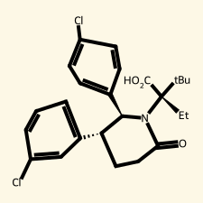 CC[C@](C(=O)O)(N1C(=O)CC[C@H](c2cccc(Cl)c2)[C@H]1c1ccc(Cl)cc1)C(C)(C)C